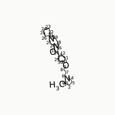 C[C@@H]1CCCN1CCCOc1ccc(C(=O)CN2CCN(c3ccccc3)CC2)cc1